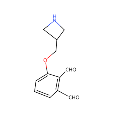 O=Cc1cccc(OCC2CNC2)c1C=O